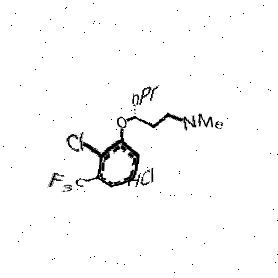 CCC[C@H](CCNC)Oc1cccc(C(F)(F)F)c1Cl.Cl